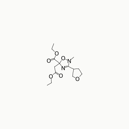 CCOC(=O)CC1(C(=O)OCC)N=C(C2CCOC2)N(C)O1